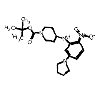 CC(C)(C)OC(=O)N1CCC(Nc2cc(N3CCCC3)ccc2[N+](=O)[O-])CC1